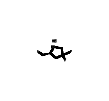 Cl.FC[C@@H]1CC(F)(F)CN1